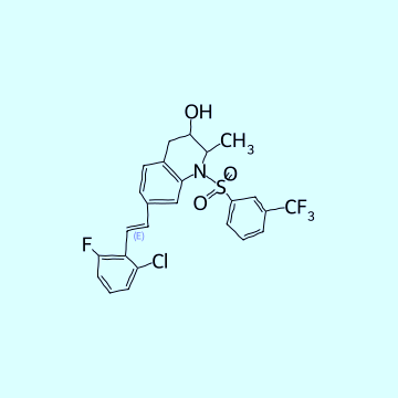 CC1C(O)Cc2ccc(/C=C/c3c(F)cccc3Cl)cc2N1S(=O)(=O)c1cccc(C(F)(F)F)c1